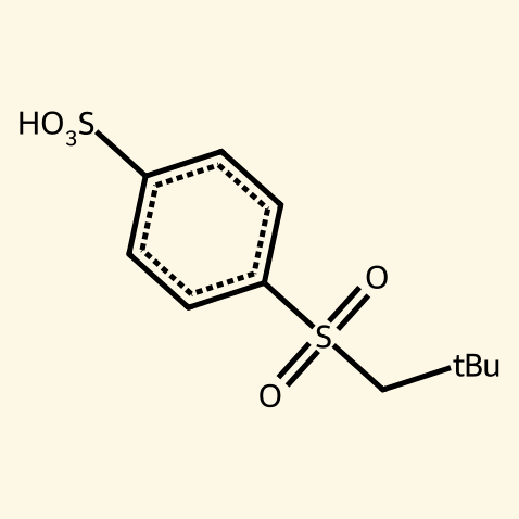 CC(C)(C)CS(=O)(=O)c1ccc(S(=O)(=O)O)cc1